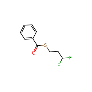 O=C(SCCC(F)F)c1ccccc1